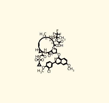 COc1ccc2c(O[C@@H]3C[C@H]4C(=O)N[C@]5(C(=O)NS(=O)(=O)C6CC6)C[C@H]5C=CCC[C@@H](C)C[C@@H](C)[C@H](N(C(=O)O)C(C)(C)C(F)(F)F)C(=O)N4C3)nc(-c3ccc(OC)c(Cl)c3)cc2c1